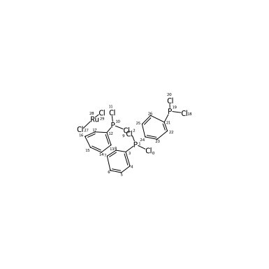 ClP(Cl)c1ccccc1.ClP(Cl)c1ccccc1.ClP(Cl)c1ccccc1.[Cl][Ru][Cl]